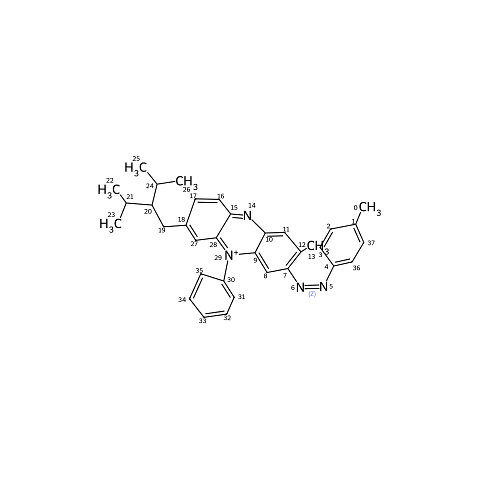 Cc1ccc(/N=N\c2cc3c(cc2C)nc2ccc(CC(C(C)C)C(C)C)cc2[n+]3-c2ccccc2)cc1